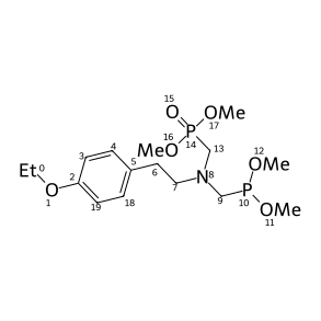 CCOc1ccc(CCN(CP(OC)OC)CP(=O)(OC)OC)cc1